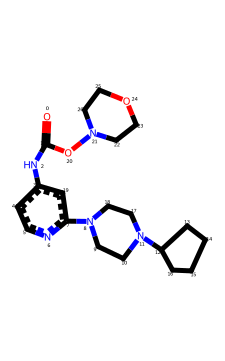 O=C(Nc1ccnc(N2CCN(C3CCCC3)CC2)c1)ON1CCOCC1